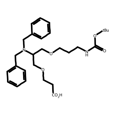 CC(C)(C)OC(=O)NCCCOCC(COCCC(=O)O)N(Cc1ccccc1)Cc1ccccc1